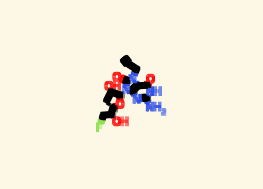 C#CCn1c(=O)n([C@@H]2O[C@H]([C@@H](O)CF)C[C@H]2O)c2nc(N)[nH]c(=O)c21